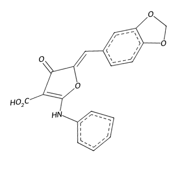 O=C(O)C1=C(Nc2ccccc2)O/C(=C\c2ccc3c(c2)OCO3)C1=O